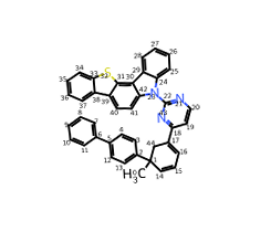 CC1(c2ccc(-c3ccccc3)cc2)C=CC=C(c2ccnc(-n3c4ccccc4c4c5sc6ccccc6c5ccc43)n2)C1